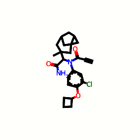 C#CC(=O)N(c1ccc(OC2CCC2)c(Cl)c1)C(C(N)=O)C1(C)CC2CC3CC3(C2)C1